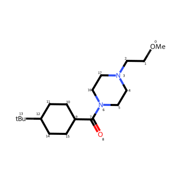 COCCN1CCN(C(=O)C2CCC(C(C)(C)C)CC2)CC1